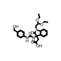 CCOC(CN1C(=O)C(CC(=O)O)(NC(=O)Nc2ccc(CO)cc2)c2ccccc21)OCC